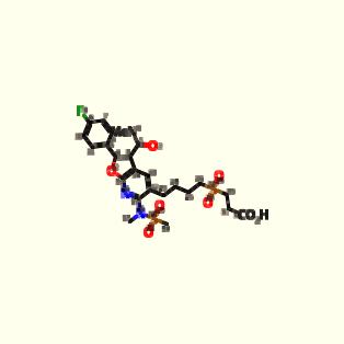 CNC(=O)c1c(-c2ccc(F)cc2)oc2nc(N(C)S(C)(=O)=O)c(CCCCS(=O)(=O)CCC(=O)O)cc12